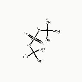 O=S(=O)(OC(O)(O)O)OC(O)(O)O